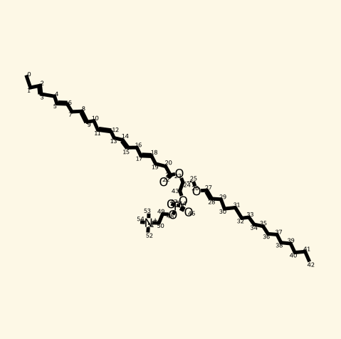 CC/C=C/C/C=C/C/C=C/C/C=C/C/C=C/C/C=C/CCC(=O)O[C@H](CO/C=C/CCCCCCCCCCCCCC)COP(=O)([O-])OCC[N+](C)(C)C